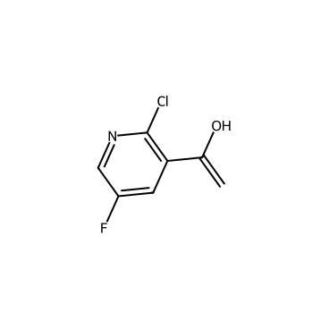 C=C(O)c1cc(F)cnc1Cl